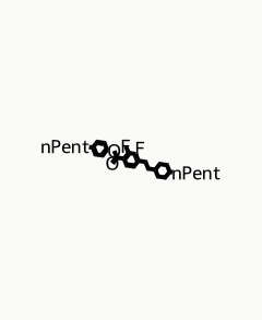 CCCCCc1ccc(OC(=O)c2ccc(CCC3CCC(CCCCC)CC3)c(F)c2F)cc1